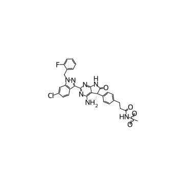 C[C@@]1(c2ccc(CCC(=O)NS(C)(=O)=O)cc2)C(=O)Nc2nc(-c3nn(Cc4ccccc4F)c4cc(Cl)ccc34)nc(N)c21